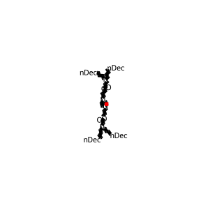 CCCCCCCCCCCCCCN(CCCCCCCCCCCCCC)CCC(=O)OCCCCN1CCN(CCCCOC(=O)CCN(CCCCCCCCCCCCCC)CCCCCCCCCCCCCC)CC1